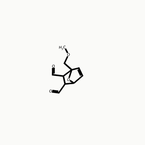 COCC12C=CC(O1)C(C=O)C2C=O